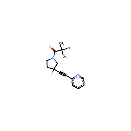 CC(C)(C)C(=O)N1CCC(F)(C#Cc2ccccn2)C1